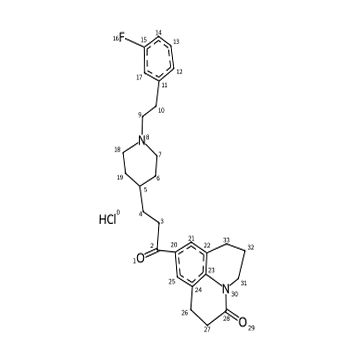 Cl.O=C(CCC1CCN(CCc2cccc(F)c2)CC1)c1cc2c3c(c1)CCC(=O)N3CCC2